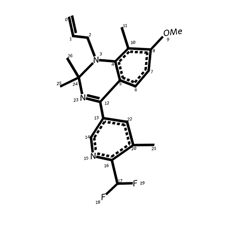 C=CCN1c2c(ccc(OC)c2C)C(c2cnc(C(F)F)c(C)c2)=NC1(C)C